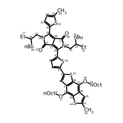 CCCCCCCCOc1c2cc(-c3ccc(C4=C5C(=O)N(CC(CC)CCCC)C(c6ccc(C)s6)=C5C(=O)N4CC(CC)CCCC)s3)sc2c(OCCCCCCCC)c2cc(C)sc12